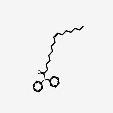 CCCCCC/C=C\CCCCCCCC(=O)N(c1ccccc1)c1ccccc1